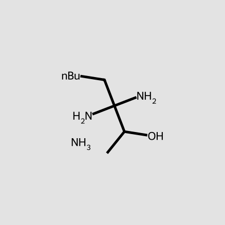 CCCCCC(N)(N)C(C)O.N